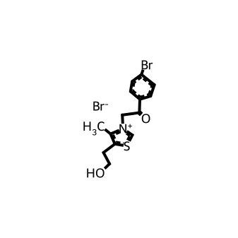 Cc1c(CCO)sc[n+]1CC(=O)c1ccc(Br)cc1.[Br-]